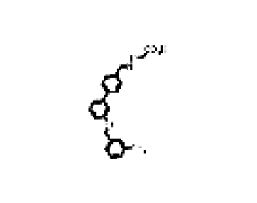 O=C(O)CON=Cc1ccc(-c2cccc(OCc3cccc(C(F)(F)F)c3)c2)cc1